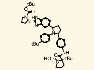 CC(C)(C)OC(=O)N1CCC[C@H]1c1nc2cc(C3CCC(c4ccc(NC(=O)[C@@]5(C(C)(C)C)CCCN5C(=O)O)cc4)N3c3ccc(C(C)(C)C)cc3)ccc2[nH]1